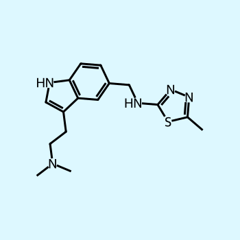 Cc1nnc(NCc2ccc3[nH]cc(CCN(C)C)c3c2)s1